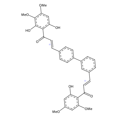 COc1cc(O)c(C(=O)/C=C/c2cccc(-c3ccc(/C=C/C(=O)c4c(O)cc(OC)c(OC)c4O)cc3)c2)c(OC)c1